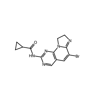 O=C(Nc1ncc2c(n1)N1CCN=C1C(Br)=C2)C1CC1